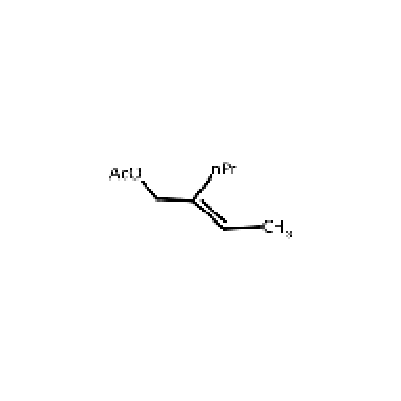 C/C=C(\CCC)COC(C)=O